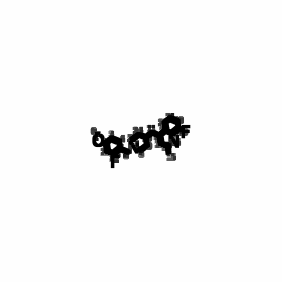 COc1ccc(CN2CCC(Cc3cc(C)nc4c(F)cccc34)CC2)c(F)c1